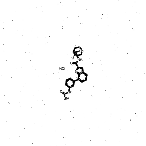 CC(C)(C)C(=O)Nc1cccc(-c2cccc3cc(C(=O)N[C@H]4CN5CCC4CC5)sc23)c1.Cl